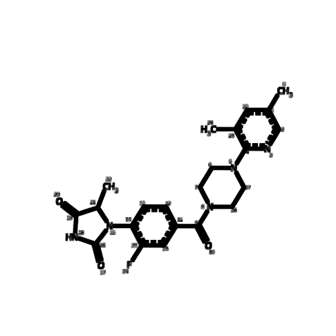 Cc1cnc(N2CCN(C(=O)c3ccc(N4C(=O)NC(=O)C4C)c(F)c3)CC2)c(C)c1